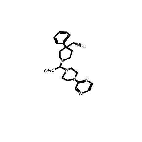 NCC1(c2ccccc2)CCN(C(C=O)N2CCN(c3cnccn3)CC2)CC1